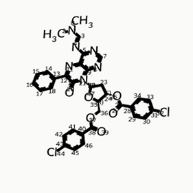 CN(C)C=Nc1ncnc2c1nc(-c1ccccc1)c(=O)n2[C@H]1C[C@H](OC(=O)c2ccc(Cl)cc2)[C@@H](COC(=O)c2ccc(Cl)cc2)O1